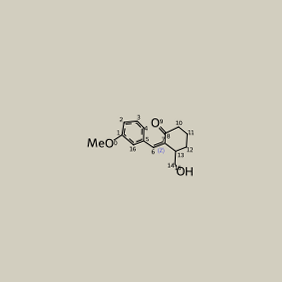 COc1cccc(/C=C2\C(=O)CCCC2CO)c1